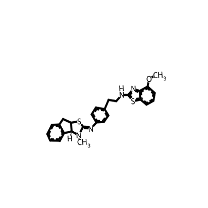 COc1cccc2sc(NCCc3ccc(/N=C4\SC5Cc6ccccc6[C@@H]5N4C)cc3)nc12